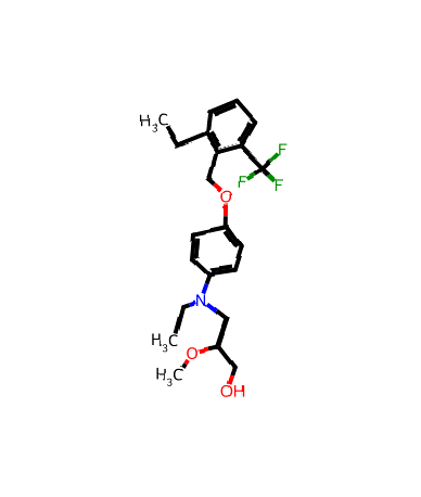 CCc1cccc(C(F)(F)F)c1COc1ccc(N(CC)CC(CO)OC)cc1